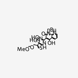 CCCCn1c(=O)c(C2=NS(O)(O)c3c(COCOC)csc3N2)c(O)c2cccnc21